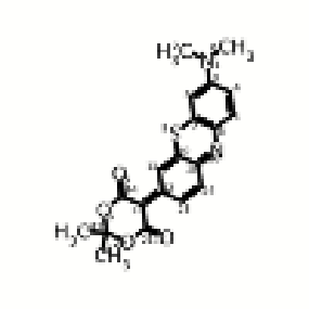 CN(C)c1ccc2c(c1)Sc1cc(=C3C(=O)OC(C)(C)OC3=O)ccc1=N2